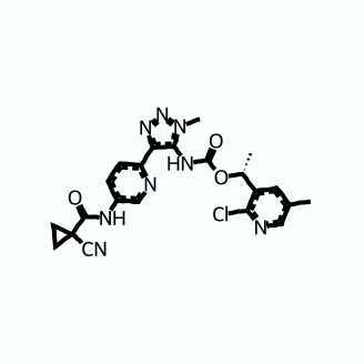 Cc1cnc(Cl)c([C@@H](C)OC(=O)Nc2c(-c3ccc(NC(=O)C4(C#N)CC4)cn3)nnn2C)c1